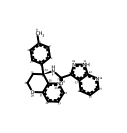 Cc1ccc([C@@]2(NC(=O)c3n[nH]c4ncccc34)CCOc3cccnc32)cc1